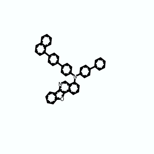 c1ccc(-c2ccc(N(c3ccc(-c4ccc(-c5cccc6ccccc56)cc4)cc3)c3cccc4c3cnc3c5ccccc5oc43)cc2)cc1